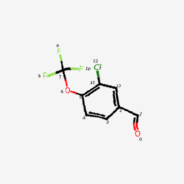 O=[C]c1ccc(OC(F)(F)F)c(Cl)c1